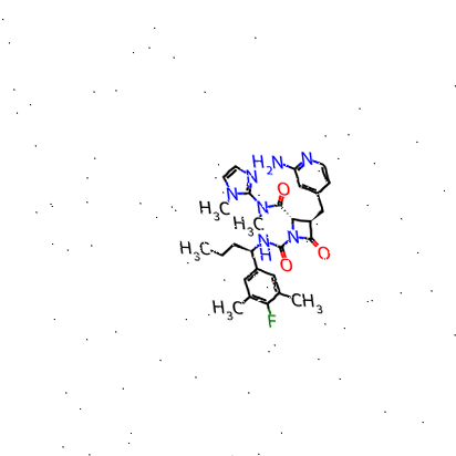 CCC[C@@H](NC(=O)N1C(=O)[C@H](Cc2ccnc(N)c2)[C@H]1C(=O)N(C)c1nccn1C)c1cc(C)c(F)c(C)c1